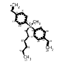 C=Cc1ccc([Si](C)(CCCCCC)c2ccc(C=C)cc2)cc1